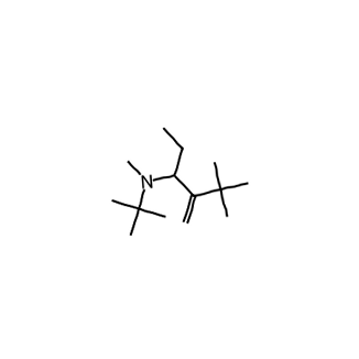 C=C(C(CC)N(C)C(C)(C)C)C(C)(C)C